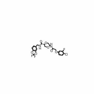 O=C(COc1ccc(Cl)c(F)c1)N[C@H]1CO[C@H](C(=O)NCc2ccc3c(c2)OC(F)(F)O3)CO1